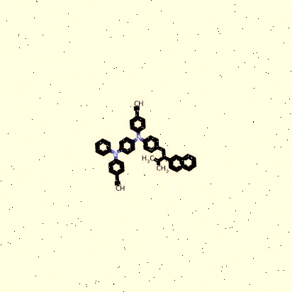 C#Cc1ccc(N(c2ccccc2)c2ccc(N(c3ccc(C#C)cc3)c3ccc(CC(c4ccc5ccccc5c4)C(C)C)cc3)cc2)cc1